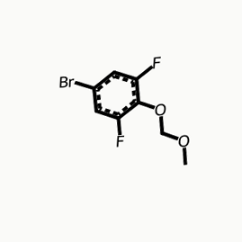 COCOc1c(F)cc(Br)cc1F